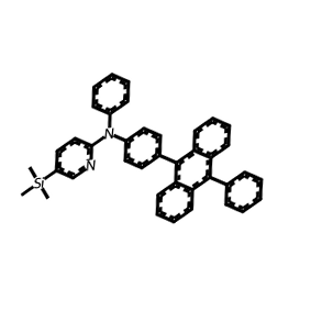 C[Si](C)(C)c1ccc(N(c2ccccc2)c2ccc(-c3c4ccccc4c(-c4ccccc4)c4ccccc34)cc2)nc1